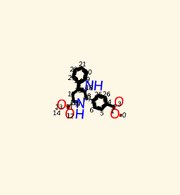 COC(=O)c1ccc([C@@H]2N[C@H](C(=O)OC)Cc3c2[nH]c2ccccc32)cc1